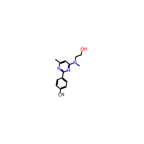 Cc1cc(N(C)CCO)nc(-c2ccc(C#N)cc2)n1